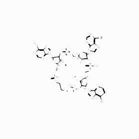 CO[C@@H]1C(OP(=O)(O)S)[C@H](n2cnc3c(N)ccnc32)O[C@@H]1COP(=O)(O)OC1[C@@H](O)[C@@H](COP(=O)(O)OC2[C@@H](OC)[C@@H](COP(=O)(O)OCCO)O[C@H]2n2cnc3c(N)ncnc32)O[C@H]1n1cnc2c(N)ncnc21